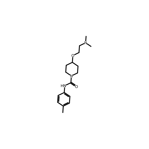 Cc1ccc(NC(=O)N2CCC(OCCN(C)C)CC2)cc1